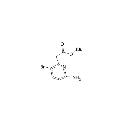 CC(C)(C)OC(=O)Cc1nc(N)ccc1Br